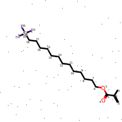 C=C(C)C(=O)OCCCCCCCCCCCCC[Si](I)(I)I